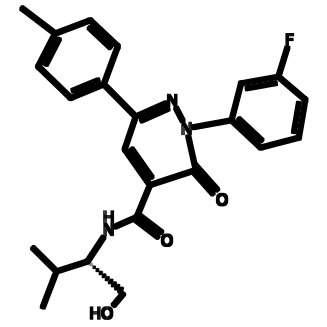 Cc1ccc(-c2cc(C(=O)N[C@H](CO)C(C)C)c(=O)n(-c3cccc(F)c3)n2)cc1